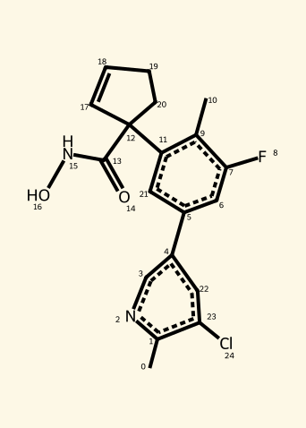 Cc1ncc(-c2cc(F)c(C)c(C3(C(=O)NO)C=CCC3)c2)cc1Cl